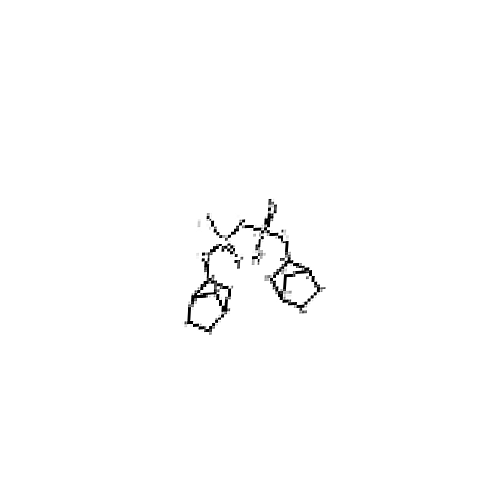 O=P(O)(OC1CC2CCC1C2)SP(=O)(O)OC1CC2CCC1C2